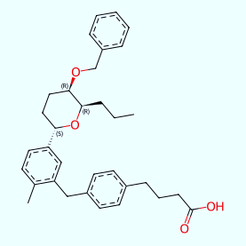 CCC[C@H]1O[C@H](c2ccc(C)c(Cc3ccc(CCCC(=O)O)cc3)c2)CC[C@H]1OCc1ccccc1